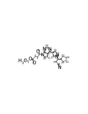 CCOC(=O)CCC(=O)n1ccc2c(-c3cnn([C@H](CC#N)C4CCCC4)c3)ncnc21